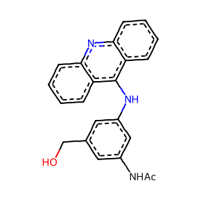 CC(=O)Nc1cc(CO)cc(Nc2c3ccccc3nc3ccccc23)c1